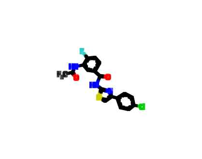 O=C(Nc1nc(-c2ccc(Cl)cc2)cs1)c1ccc(F)c(NC(=O)C(F)(F)F)c1